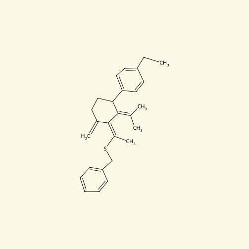 C=C1CCC(c2ccc(CC)cc2)C(=C(C)C)/C1=C(\C)SCc1ccccc1